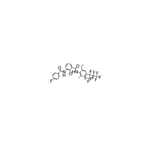 CCc1cc(C(F)(C(F)(F)F)C(F)(F)C(F)(F)F)cc(C)c1NC(=O)c1cccc(NC(=O)c2ccc(F)cc2)c1OC